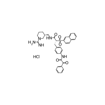 Cl.N=C(N)N1CCC[C@@H](CNC(=O)[C@@H](Cc2ccc(NC(=O)C(=O)c3ccccc3)cc2)S(=O)(=O)c2ccc3ccccc3c2)C1